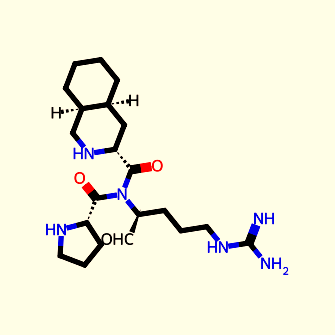 N=C(N)NCCC[C@@H](C=O)N(C(=O)[C@@H]1CCCN1)C(=O)[C@H]1C[C@@H]2CCCC[C@@H]2CN1